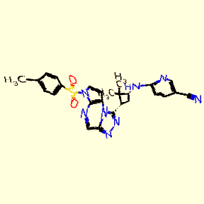 Cc1ccc(S(=O)(=O)n2ccc3c2ncc2nnc([C@H]4C[C@@H](Nc5ccc(C#N)cn5)C4(C)C)n23)cc1